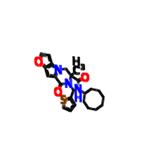 CC1(C(=O)NC2CCCCCCC2)Cn2c(cc3occc32)C(=O)N1Cc1cccs1